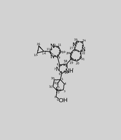 OCC12CCC(c3nc(-c4ccnc(C5CC5)n4)c(-c4ccc5nccnc5c4)[nH]3)(CC1)CC2